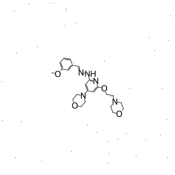 COc1cccc(C=NNc2cc(N3CCOCC3)cc(OCCN3CCOCC3)n2)c1